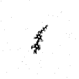 CCCCCCOc1cc(C)c(C#Cc2cc(F)c(C#N)c(F)c2)c(C)c1